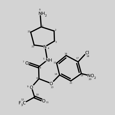 NC1CCN(NC(=O)C(OC(=O)C(F)(F)F)Oc2ccc(Cl)c([N+](=O)[O-])c2)CC1